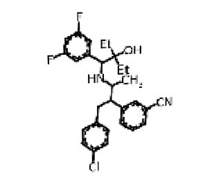 CCC(O)(CC)C(NC(C)C(Cc1ccc(Cl)cc1)c1cccc(C#N)c1)c1cc(F)cc(F)c1